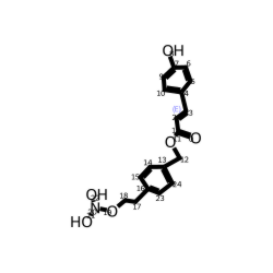 O=C(/C=C/c1ccc(O)cc1)OCc1ccc(CCON(O)O)cc1